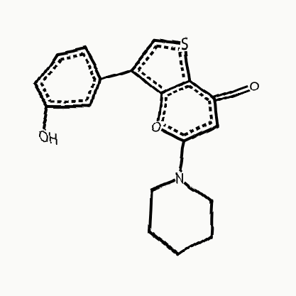 O=c1cc(N2CCCCC2)oc2c(-c3cccc(O)c3)csc12